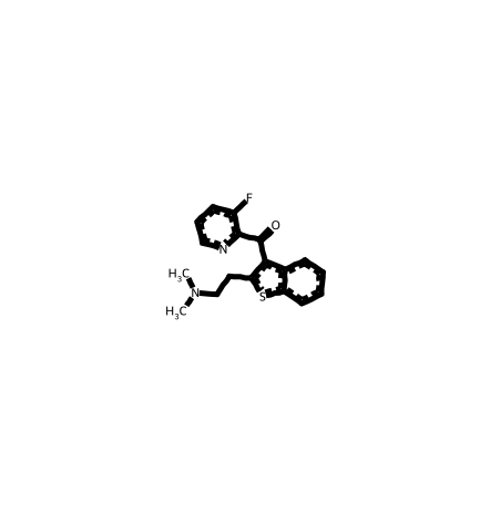 CN(C)CCc1sc2ccccc2c1C(=O)c1ncccc1F